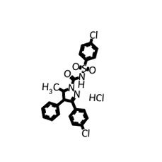 CC1C(c2ccccc2)C(c2ccc(Cl)cc2)=NN1C(=O)NS(=O)(=O)c1ccc(Cl)cc1.Cl